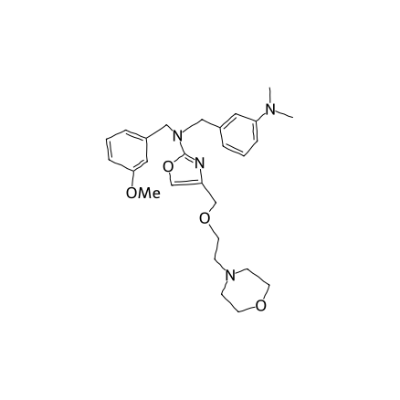 COc1cccc(CN(Cc2cccc(N(C)C)c2)c2nc(COCCN3CCOCC3)co2)c1